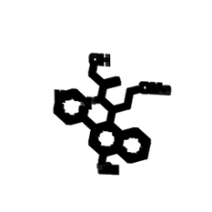 C=C(CO)C1C(CCOC)c2c(cc(C(C)(C)C)c3ccccc23)-c2ccnc[n+]21